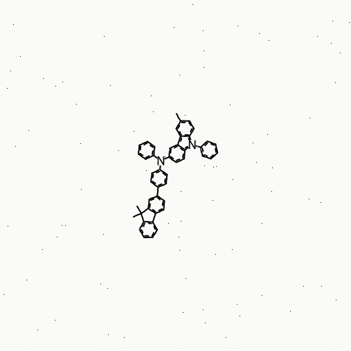 Cc1ccc2c(c1)c1cc(N(c3ccccc3)c3ccc(-c4ccc5c(c4)C(C)(C)c4ccccc4-5)cc3)ccc1n2-c1ccccc1